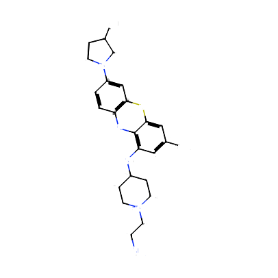 CC1CCN(c2ccc3c(c2)Sc2cc(C(F)(F)F)cc(NC4CCN(CCN)CC4)c2N3)C1.Cl